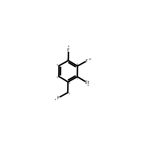 CCc1c(CF)ccc(F)c1F